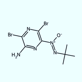 CC(C)(C)N=[N+]([O-])c1nc(N)c(Br)nc1Br